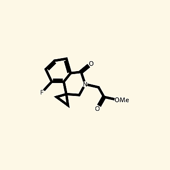 COC(=O)CN1CC2(CC2)c2c(F)cccc2C1=O